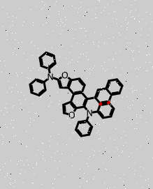 c1ccc(N(c2ccccc2)c2cc3c(ccc4c(-c5ccc6ccccc6c5)c(N(c5ccccc5)c5ccccc5)c5occc5c43)o2)cc1